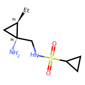 CC[C@@H]1C[C@]1(N)CNS(=O)(=O)C1CC1